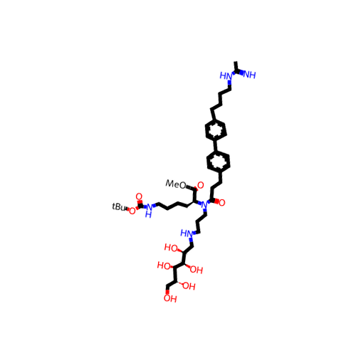 COC(=O)[C@H](CCCCNC(=O)OC(C)(C)C)N(CCCNC[C@H](O)[C@@H](O)[C@H](O)[C@H](O)CO)C(=O)CCc1ccc(-c2ccc(CCCCNC(C)=N)cc2)cc1